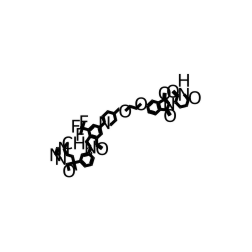 Cn1cnnc1CC1(c2cccc(N3Cc4c(cc(N5CCC(COCCOc6ccc7c(c6)C(=O)N(C6CCC(=O)NC6=O)C7=O)CC5)cc4C(F)(F)F)C3=O)c2)COC1